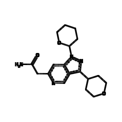 NC(=O)Cc1cc2c(cn1)c(C1CCOCC1)nn2C1CCCCO1